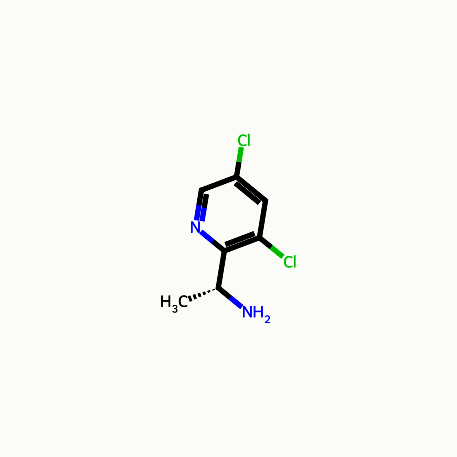 C[C@@H](N)c1ncc(Cl)cc1Cl